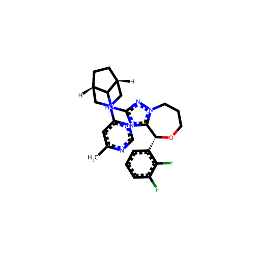 Cc1cc(N2C[C@H]3CC[C@@H](C2)C3Nc2nc3n(n2)CCCO[C@@H]3c2cccc(F)c2F)ncn1